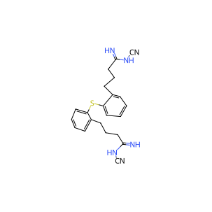 N#CNC(=N)CCCc1ccccc1Sc1ccccc1CCCC(=N)NC#N